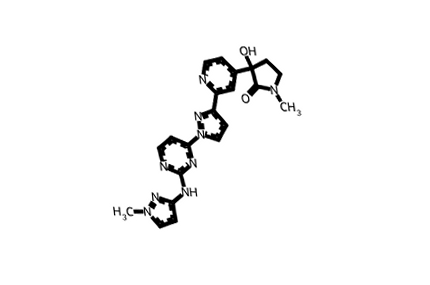 CN1CCC(O)(c2ccnc(-c3ccn(-c4ccnc(Nc5ccn(C)n5)n4)n3)c2)C1=O